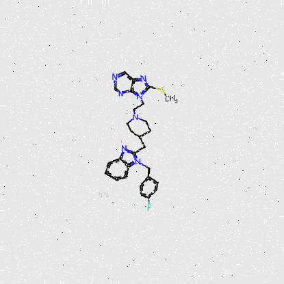 CSc1nc2cncnc2n1CCN1CCC(Cc2nc3ccccc3n2Cc2ccc(F)cc2)CC1